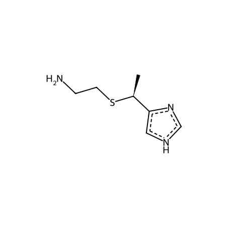 C[C@H](SCCN)c1c[nH]cn1